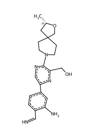 C[C@H]1CC2(CCN(c3ncc(-c4ccc(C=N)c(N)c4)nc3CO)CC2)CO1